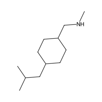 CNCC1CCC(CC(C)C)CC1